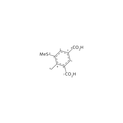 CSc1cc(C(=O)O)cc(C(=O)O)c1C